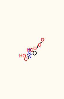 COCCOCCOc1cccc(C2=NC(C)(C(=O)O)CN2)c1O